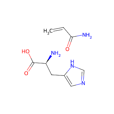 C=CC(N)=O.N[C@@H](Cc1cnc[nH]1)C(=O)O